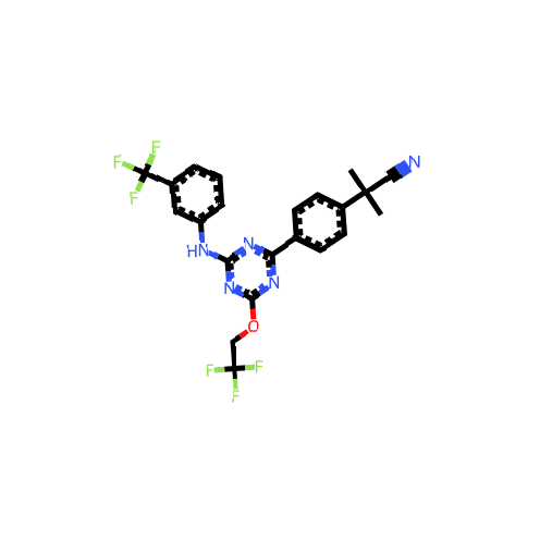 CC(C)(C#N)c1ccc(-c2nc(Nc3cccc(C(F)(F)F)c3)nc(OCC(F)(F)F)n2)cc1